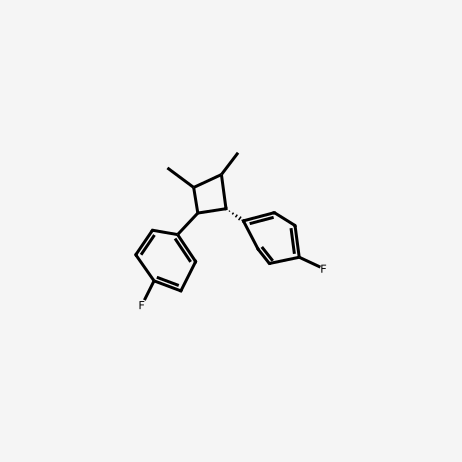 CC1C(C)[C@H](c2ccc(F)cc2)C1c1ccc(F)cc1